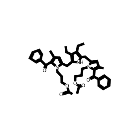 CCc1c(Cc2cc(C)c(C(=O)c3ccccc3)n2CCCOC(C)=O)[nH]c(Cc2cc(C)c(C(=O)c3ccccc3)n2CCCOC(C)=O)c1CC